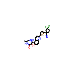 CC1CNc2c(oc3ccc4nc(-c5ccc(C6(C#N)CCC(F)(F)C6)s5)ccc4c23)C(=O)N1